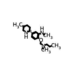 CCCN(C)COc1ccc([C@H]2CC[C@H](C)CN2)cc1NC